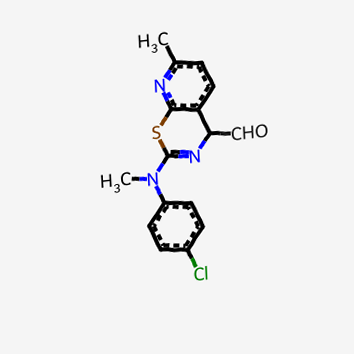 Cc1ccc2c(n1)SC(N(C)c1ccc(Cl)cc1)=NC2C=O